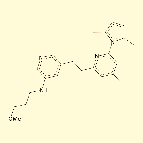 COCCCNc1cncc(CCc2cc(C)cc(-n3c(C)ccc3C)n2)c1